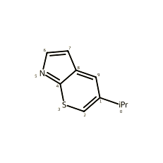 CC(C)c1csc2nccc-2c1